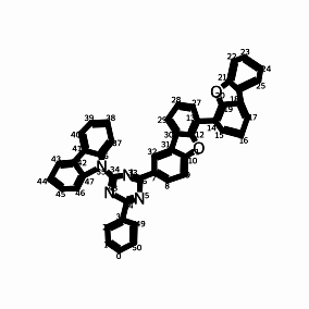 c1ccc(-c2nc(-c3ccc4oc5c(-c6cccc7c6oc6ccccc67)cccc5c4c3)nc(-n3c4ccccc4c4ccccc43)n2)cc1